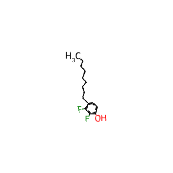 CCCCCCCCCc1ccc(O)c(F)c1F